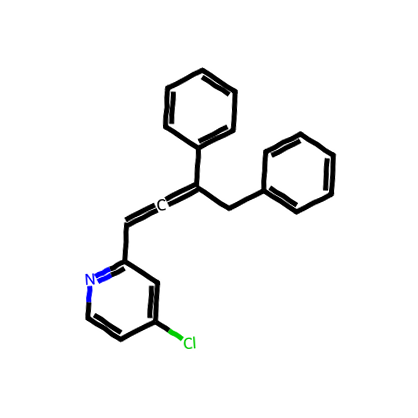 Clc1ccnc(C=C=C(Cc2ccccc2)c2ccccc2)c1